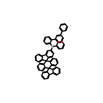 c1ccc(-c2cccc(-c3ccccc3N(c3ccccc3)c3ccc4c(c3)-c3ccccc3C43c4ccccc4C4(c5ccccc5-c5ccccc54)c4ccccc43)c2)cc1